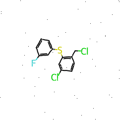 Fc1cccc(Sc2cc(Cl)ccc2CCl)c1